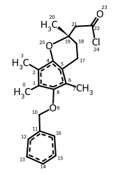 Cc1c(C)c2c(c(C)c1OCc1ccccc1)CC[C@@](C)(CC(=O)Cl)O2